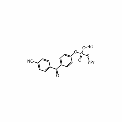 CCCSP(=O)(OCC)Oc1ccc(C(=O)c2ccc(C#N)cc2)cc1